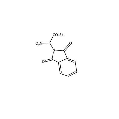 CCOC(=O)C(N1C(=O)c2ccccc2C1=O)[N+](=O)[O-]